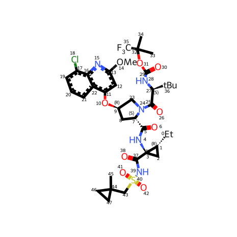 CC[C@@H]1C[C@]1(NC(=O)[C@@H]1C[C@@H](Oc2cc(OC)nc3c(Cl)cccc23)CN1C(=O)[C@@H](NC(=O)OC(C)(C)C(F)(F)F)C(C)(C)C)C(=O)NS(=O)(=O)CC1(C)CC1